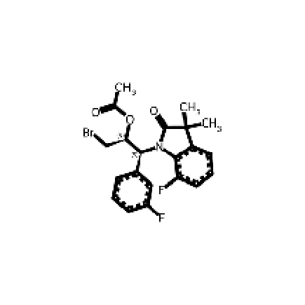 CC(=O)O[C@H](CBr)[C@H](c1cccc(F)c1)N1C(=O)C(C)(C)c2cccc(F)c21